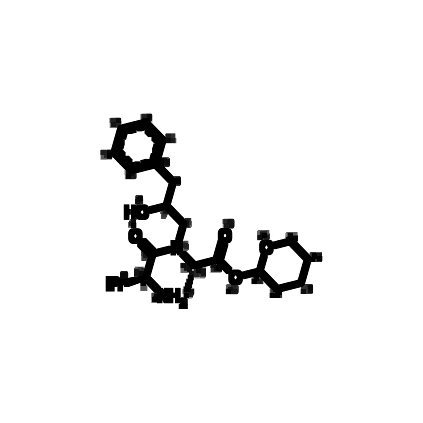 CC(C)[C@H](N)C(=O)N(CC(O)Cc1ccccc1)[C@@H](C)C(=O)OC1CCCCO1